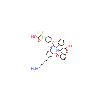 NCCCCCc1ccc2c(c1)C(=O)N(C(CC(=O)O)c1ccccc1)C(c1ccccc1)C(=O)N2Cc1ccccc1.O=C(O)C(F)(F)F